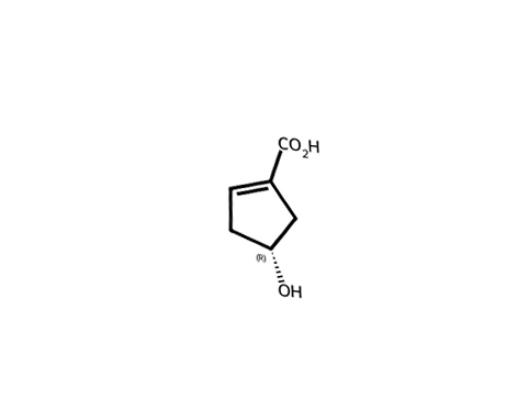 O=C(O)C1=CC[C@@H](O)C1